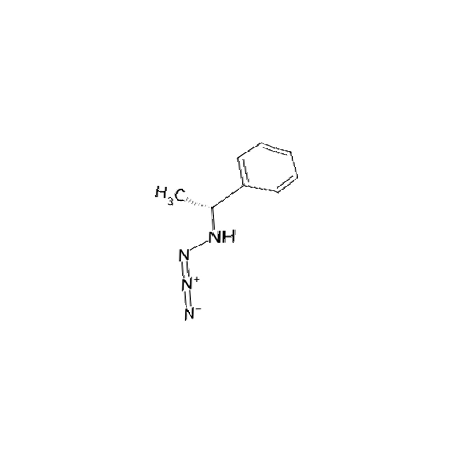 C[C@@H](NN=[N+]=[N-])c1ccccc1